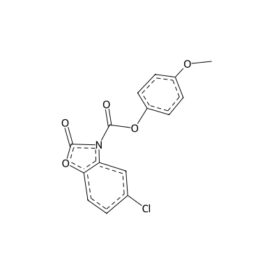 COc1ccc(OC(=O)n2c(=O)oc3ccc(Cl)cc32)cc1